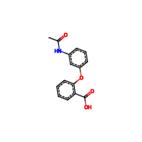 CC(=O)Nc1cccc(Oc2ccccc2C(=O)O)c1